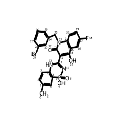 Cc1ccc2c(c1)P(=O)(O)N=C(c1c(O)c3cc(F)ccc3n(Cc3cccc(Br)c3)c1=O)N2